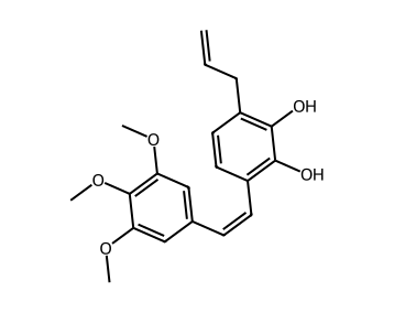 C=CCc1ccc(/C=C\c2cc(OC)c(OC)c(OC)c2)c(O)c1O